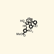 COC(=O)c1ccc(CN[C@@H]2[C@H](CO)N(CC(C)(C)C)[C@@](C)(C(=O)Nc3cccc(Cl)c3)[C@H]2c2cccc(Cl)c2F)c([N+](=O)[O-])c1